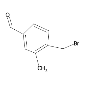 Cc1cc(C=O)ccc1CBr